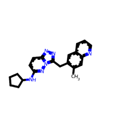 Cc1cc2ncccc2cc1Cc1nnc2ccc(NC3CCCC3)nn12